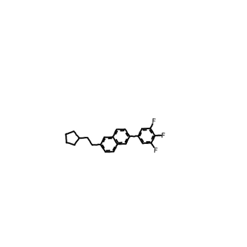 Fc1cc(-c2ccc3cc(CCC4CCCC4)ccc3c2)cc(F)c1F